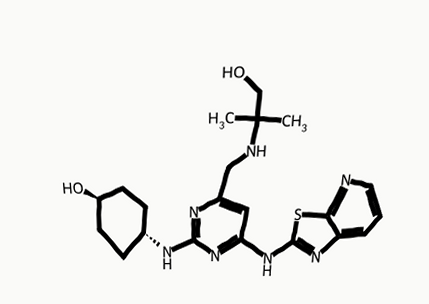 CC(C)(CO)NCc1cc(Nc2nc3cccnc3s2)nc(N[C@H]2CC[C@H](O)CC2)n1